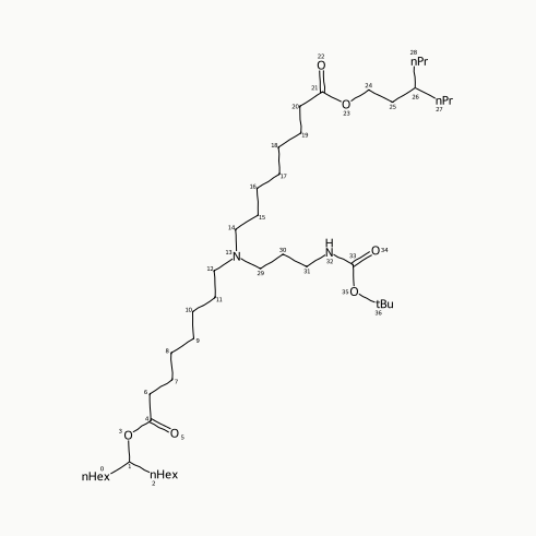 CCCCCCC(CCCCCC)OC(=O)CCCCCCCN(CCCCCCCC(=O)OCCC(CCC)CCC)CCCNC(=O)OC(C)(C)C